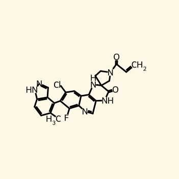 C=CC(=O)N1CCC2(C1)Nc1c(cnc3c(F)c(-c4c(C)ccc5[nH]ncc45)c(Cl)cc13)NC2=O